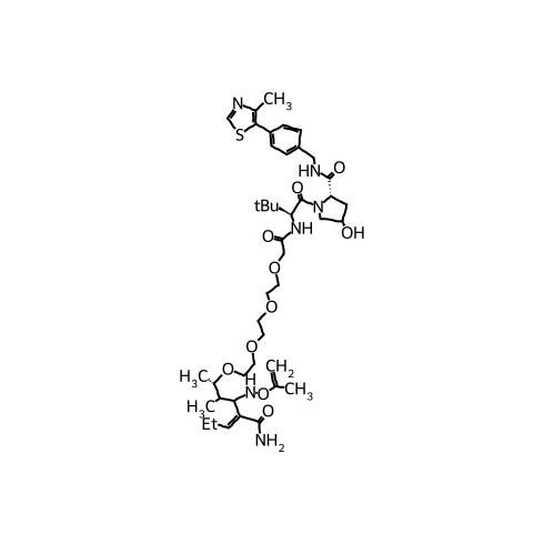 C=C(C)ONC(/C(=C\CC)C(N)=O)C(C)[C@H](C)OCCOCCOCCOCC(=O)N[C@H](C(=O)N1C[C@H](O)C[C@H]1C(=O)NCc1ccc(-c2scnc2C)cc1)C(C)(C)C